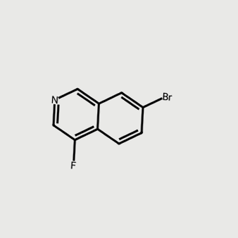 Fc1cncc2cc(Br)ccc12